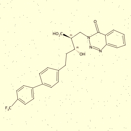 O=C(O)[C@@H](Cn1nnc2ccccc2c1=O)[C@H](O)CCc1ccc(-c2ccc(C(F)(F)F)cc2)cc1